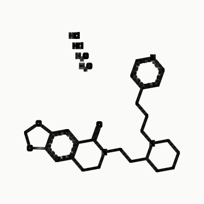 Cl.Cl.O.O.O=C1c2cc3c(cc2CCN1CCC1CCCCN1CCCc1ccncc1)OCO3